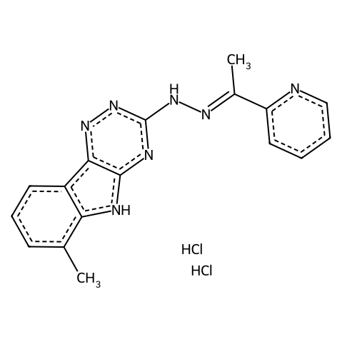 C/C(=N\Nc1nnc2c(n1)[nH]c1c(C)cccc12)c1ccccn1.Cl.Cl